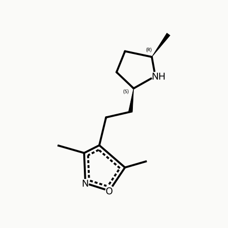 Cc1noc(C)c1CC[C@H]1CC[C@@H](C)N1